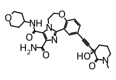 CN1CCC[C@@](O)(C#Cc2ccc3c(c2)-c2nc(C(N)=O)c(C(=O)NC4CCOCC4)n2CCO3)C1=O